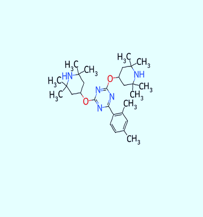 Cc1ccc(-c2nc(OC3CC(C)(C)NC(C)(C)C3)nc(OC3CC(C)(C)NC(C)(C)C3)n2)c(C)c1